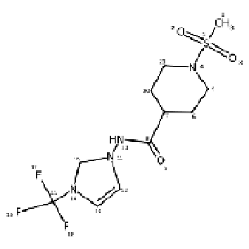 CS(=O)(=O)N1CCC(C(=O)NN2C=CN(C(F)(F)F)C2)CC1